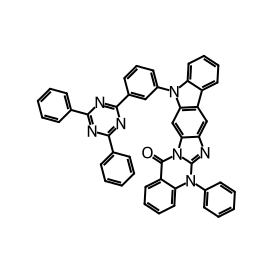 O=c1c2ccccc2n(-c2ccccc2)c2nc3cc4c5ccccc5n(-c5cccc(-c6nc(-c7ccccc7)nc(-c7ccccc7)n6)c5)c4cc3n12